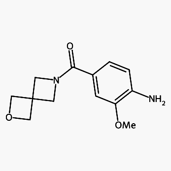 COc1cc(C(=O)N2CC3(COC3)C2)ccc1N